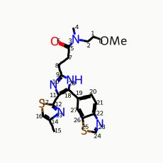 COCCN(C)C(=O)CCc1nc(-c2nc(C)cs2)c(-c2ccc3ncsc3c2)[nH]1